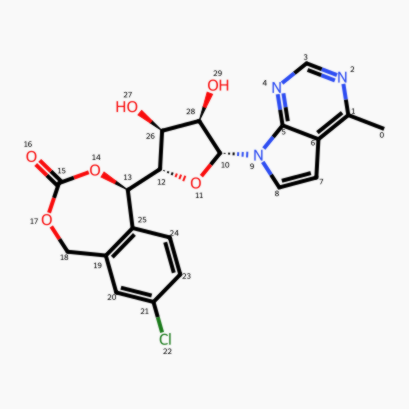 Cc1ncnc2c1ccn2[C@@H]1O[C@H]([C@@H]2OC(=O)OCc3cc(Cl)ccc32)[C@@H](O)[C@H]1O